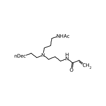 C=CC(=O)NCCCN(CCCCCCCCCCCC)CCCNC(C)=O